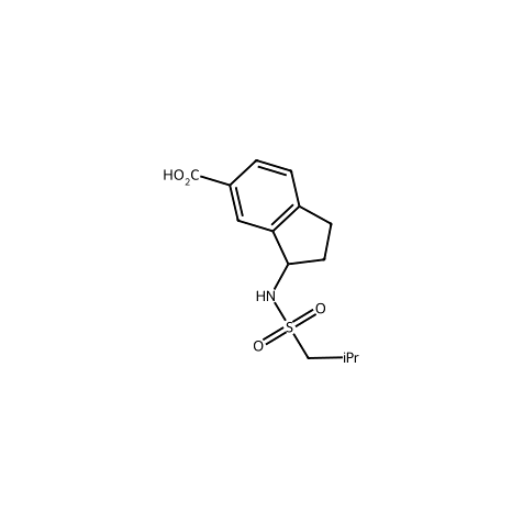 CC(C)CS(=O)(=O)NC1CCc2ccc(C(=O)O)cc21